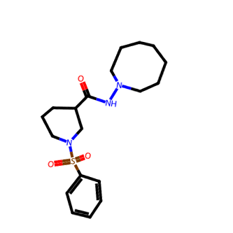 O=C(NN1CCCCCCC1)C1CCCN(S(=O)(=O)c2ccccc2)C1